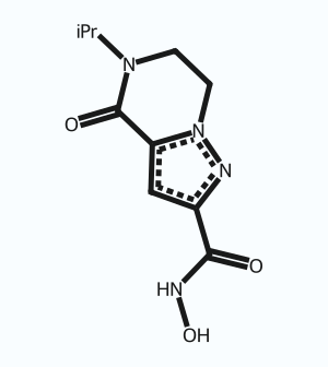 CC(C)N1CCn2nc(C(=O)NO)cc2C1=O